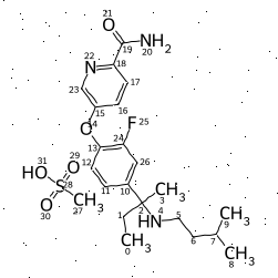 CCC(C)(NCCC(C)C)c1ccc(Oc2ccc(C(N)=O)nc2)c(F)c1.CS(=O)(=O)O